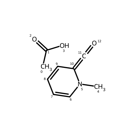 CC(=O)O.CN1C=CC=CC1=C=O